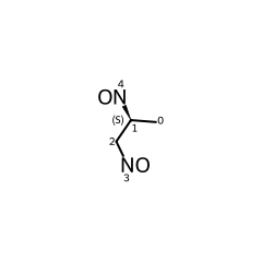 C[C@@H](CN=O)N=O